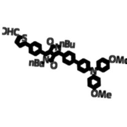 CCCCN1C(=O)C2=C(c3ccc(-c4ccc(C=O)s4)cc3)N(CCCC)C(=O)C2=C1c1ccc(-c2ccc(N(c3ccc(OC)cc3)c3ccc(OC)cc3)cc2)cc1